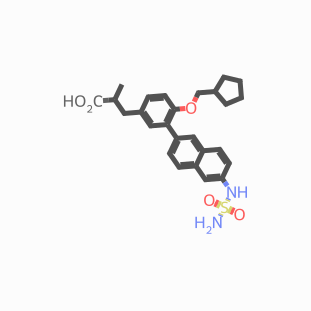 CC(Cc1ccc(OCC2CCCC2)c(-c2ccc3cc(NS(N)(=O)=O)ccc3c2)c1)C(=O)O